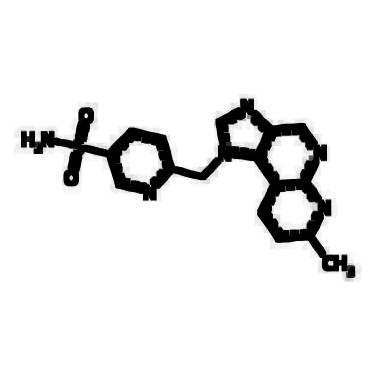 Cc1ccc2c(ncc3ncn(Cc4ccc(S(N)(=O)=O)cn4)c32)n1